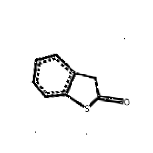 O=C1Cc2cc[c]cc2S1